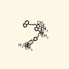 CC(C)=C(CCCCc1cccc2ccccc12)c1cccc(-c2c(C)nn(C)c2CCc2ccc(N3CCN(S(=O)(=O)N(C)C)CC3)cc2)c1C